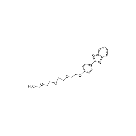 CCOCCOCCOCCOc1ccc(-c2nc3ccccc3s2)cc1